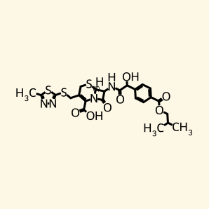 Cc1nnc(SCC2=C(C(=O)O)N3C(=O)C(NC(=O)C(O)c4ccc(C(=O)OCC(C)C)cc4)[C@@H]3SC2)s1